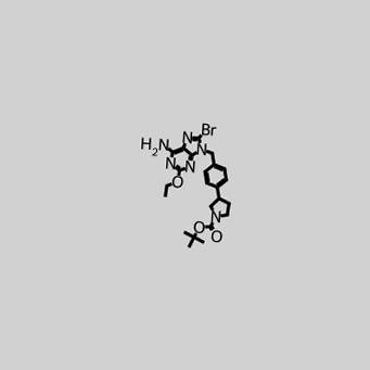 CCOc1nc(N)c2nc(Br)n(Cc3ccc(C4CCN(C(=O)OC(C)(C)C)C4)cc3)c2n1